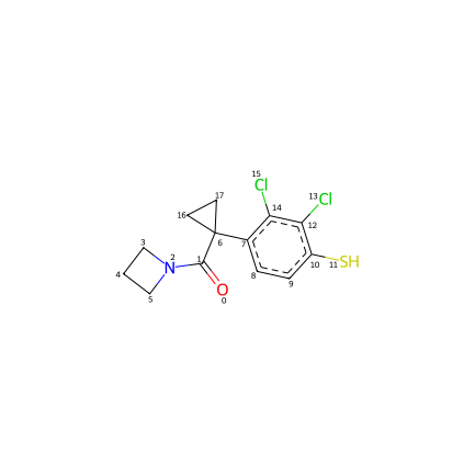 O=C(N1CCC1)C1(c2ccc(S)c(Cl)c2Cl)CC1